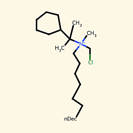 CCCCCCCCCCCCCCCC[N+](C)(CCl)C(C)(C)C1CCCCC1